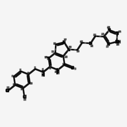 O=c1[nH]c(NCc2ccc(Cl)c(Cl)c2)nc2cnn(CCOCc3nn[nH]n3)c12